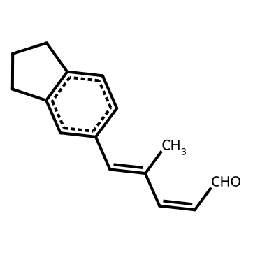 CC(/C=C\C=O)=C\c1ccc2c(c1)CCC2